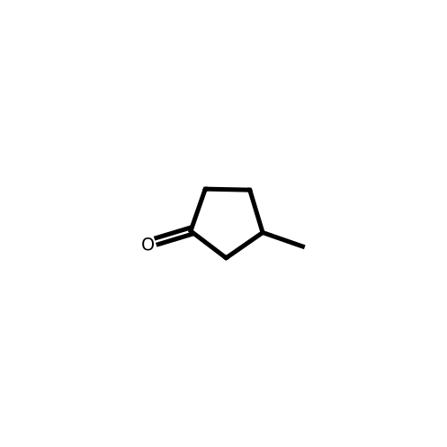 CC1CCC(=O)C1